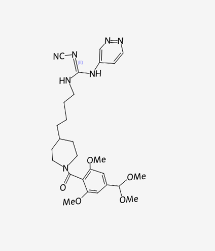 COc1cc(C(OC)OC)cc(OC)c1C(=O)N1CCC(CCCCN/C(=N\C#N)Nc2ccnnc2)CC1